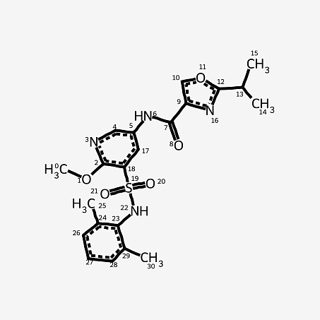 COc1ncc(NC(=O)c2coc(C(C)C)n2)cc1S(=O)(=O)Nc1c(C)cccc1C